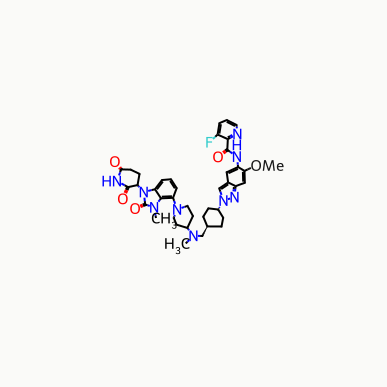 COc1cc2nn([C@H]3CC[C@H](CN(C)C4CCN(c5cccc6c5n(C)c(=O)n6C5CCC(=O)NC5=O)CC4)CC3)cc2cc1NC(=O)c1ncccc1F